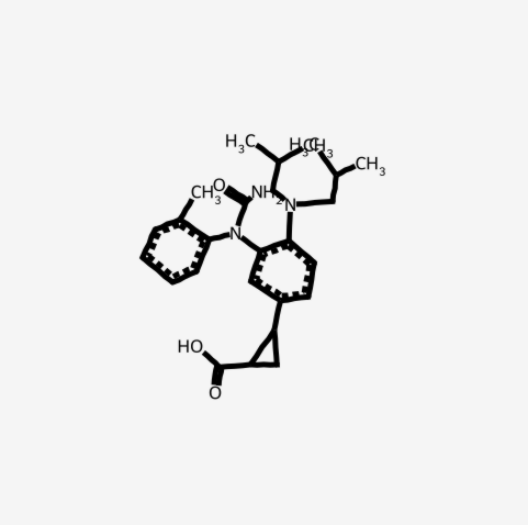 Cc1ccccc1N(C(N)=O)c1cc(C2CC2C(=O)O)ccc1N(CC(C)C)CC(C)C